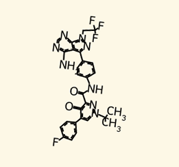 CC(C)n1cc(-c2ccc(F)cc2)c(=O)c(C(=O)Nc2ccc(-c3nn(CC(F)(F)F)c4ncnc(N)c34)cc2)n1